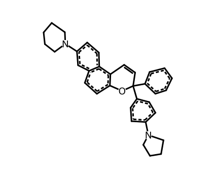 C1=CC(c2ccccc2)(c2ccc(N3CCCC3)cc2)Oc2ccc3cc(N4CCCCC4)ccc3c21